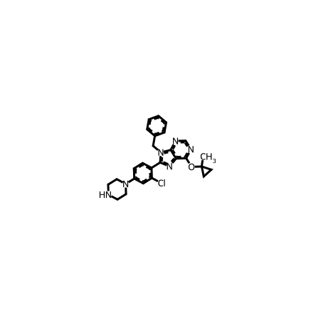 CC1(Oc2ncnc3c2nc(-c2ccc(N4CCNCC4)cc2Cl)n3Cc2ccccc2)CC1